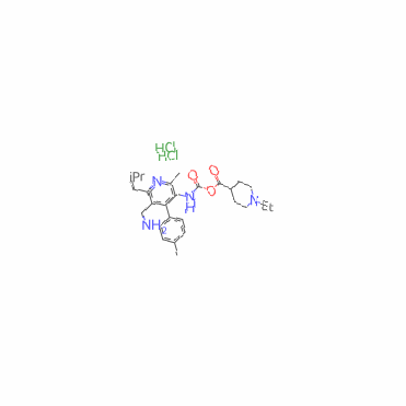 CCN1CCC(C(=O)OC(=O)Nc2c(C)nc(CC(C)C)c(CN)c2-c2ccc(C)cc2)CC1.Cl.Cl